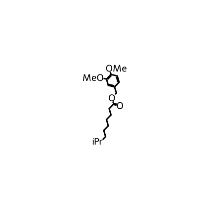 COc1ccc(COC(=O)CCCCCCC(C)C)cc1OC